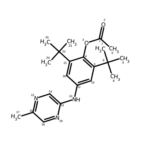 CC(=O)Oc1c(C(C)(C)C)cc(Nc2cnc(C)cn2)cc1C(C)(C)C